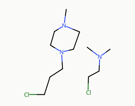 CN(C)CCCl.CN1CCN(CCCCl)CC1